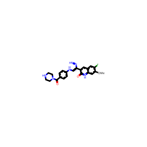 COc1cc2[nH]c(=O)c(/C(=C/Nc3ccc(C(=O)N4CCNCC4)cc3)N=N)cc2cc1F